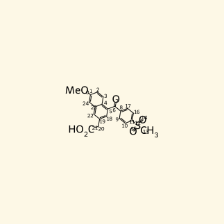 COc1ccc2c(C(=O)c3ccc(S(C)(=O)=O)cc3)cc(CC(=O)O)cc2c1